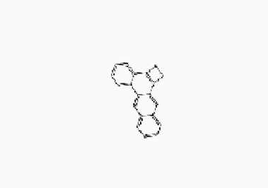 c1ccc2cc3c(cc2c1)c1c(c2ccccc23)CC1